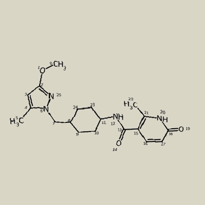 COc1cc(C)n(CC2CCC(NC(=O)c3ccc(=O)[nH]c3C)CC2)n1